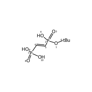 CC(C)(C)OP(=O)(O)C=CP(=O)(O)O